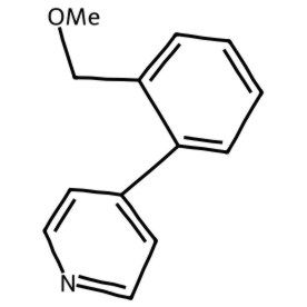 COCc1ccccc1-c1ccncc1